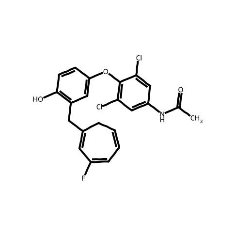 CC(=O)Nc1cc(Cl)c(Oc2ccc(O)c(CC3=CC(F)=CC=CC3)c2)c(Cl)c1